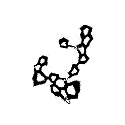 c1ccc(-n2c3cc(-c4ccc(N(c5ccc(-c6cccc7sc8ccccc8c67)cc5)c5cccc6oc7ccccc7c56)cc4)ccc3c3ccc4ccccc4c32)cc1